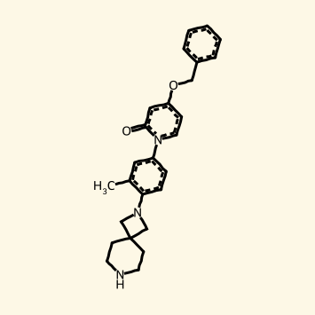 Cc1cc(-n2ccc(OCc3ccccc3)cc2=O)ccc1N1CC2(CCNCC2)C1